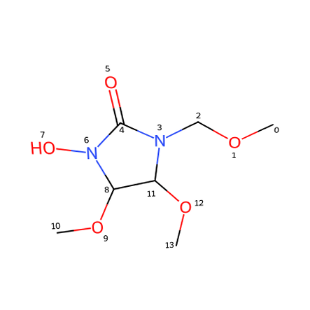 COCN1C(=O)N(O)C(OC)C1OC